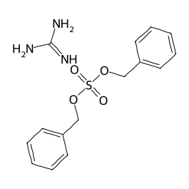 N=C(N)N.O=S(=O)(OCc1ccccc1)OCc1ccccc1